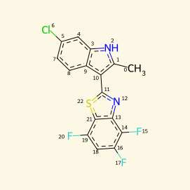 Cc1[nH]c2cc(Cl)ccc2c1-c1nc2c(F)c(F)cc(F)c2s1